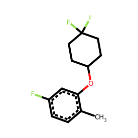 Cc1ccc(F)cc1OC1CCC(F)(F)CC1